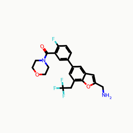 NCc1cc2cc(-c3ccc(F)c(C(=O)N4CCOCC4)c3)cc(CC(F)(F)F)c2o1